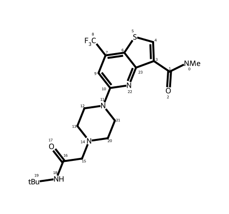 CNC(=O)c1csc2c(C(F)(F)F)cc(N3CCN(CC(=O)NC(C)(C)C)CC3)nc12